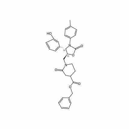 Cc1ccc(N2C(=O)O[C@@H](CN3CCC(C(=O)OCc4ccccc4)CC3=O)[C@@H]2c2cccc(O)c2)cc1